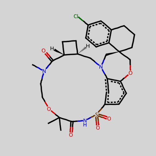 CN1CCOC(C)(C)C(=O)NS(=O)(=O)c2ccc3c(c2)N(C[C@@H]2CC[C@H]2C1=O)C[C@@]1(CCCc2cc(Cl)ccc21)CO3